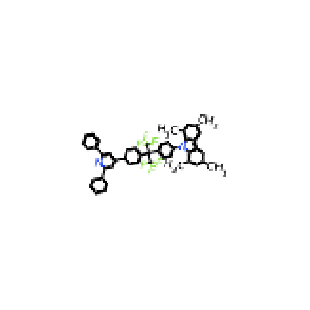 Cc1cc(C)c2c(c1)c1cc(C)cc(C)c1n2-c1ccc(C(c2ccc(-c3cc(-c4ccccc4)nc(-c4ccccc4)c3)cc2)(C(F)(F)F)C(F)(F)F)cc1